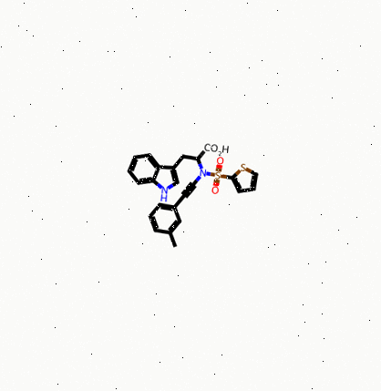 Cc1cccc(C#CN(C(Cc2c[nH]c3ccccc23)C(=O)O)S(=O)(=O)c2cccs2)c1